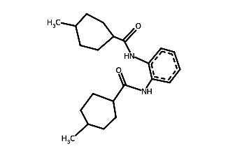 CC1CCC(C(=O)Nc2ccccc2NC(=O)C2CCC(C)CC2)CC1